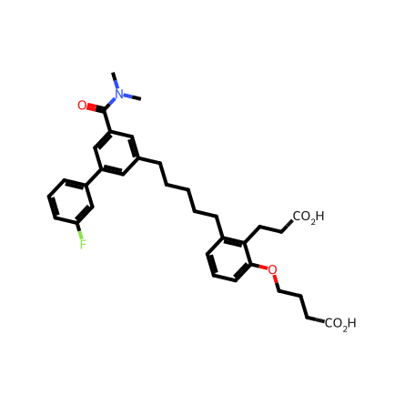 CN(C)C(=O)c1cc(CCCCCc2cccc(OCCCC(=O)O)c2CCC(=O)O)cc(-c2cccc(F)c2)c1